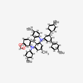 Cc1cc2c3c(c1)N(c1ccc(C(C)(C)C)cc1)c1c(ccc4c1OCO4)B3c1cc(C(C)(C)C)ccc1N2c1cc(-c2ccc(C(C)(C)C)cc2)cc(-c2ccc(C(C)(C)C)cc2)c1